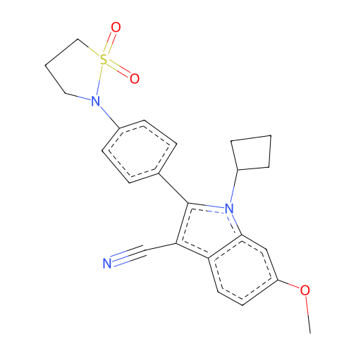 COc1ccc2c(C#N)c(-c3ccc(N4CCCS4(=O)=O)cc3)n(C3CCC3)c2c1